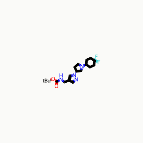 CC(C)(C)OC(=O)NCc1cnn([C@@H]2CCN(C3CCC(F)(F)CC3)C2)c1